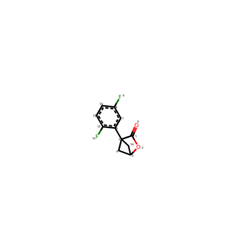 O=C1OC2CC1(c1cc(F)ccc1F)C2